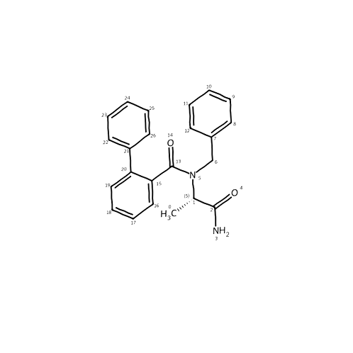 C[C@@H](C(N)=O)N(Cc1ccccc1)C(=O)c1ccccc1-c1ccccc1